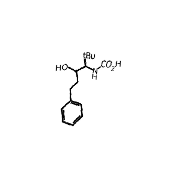 CC(C)(C)C(NC(=O)O)C(O)CCc1ccccc1